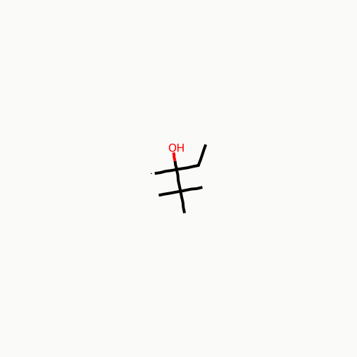 [CH2]C(O)(CC)C(C)(C)C